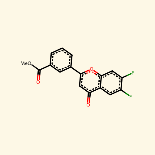 COC(=O)c1cccc(-c2cc(=O)c3cc(F)c(F)cc3o2)c1